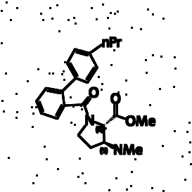 CCCc1ccc(-c2ccccc2C(=O)N2CC[C@H](NC)[C@H]2C(=O)OC)cc1